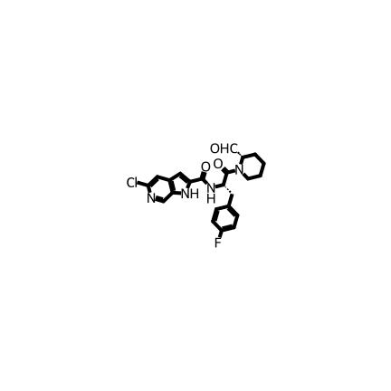 O=C[C@@H]1CCCCN1C(=O)[C@H](Cc1ccc(F)cc1)NC(=O)c1cc2cc(Cl)ncc2[nH]1